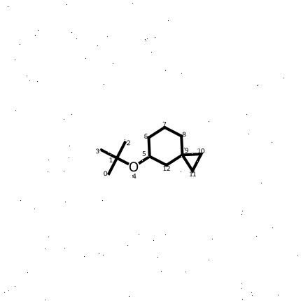 CC(C)(C)OC1CCCC2(CC2)C1